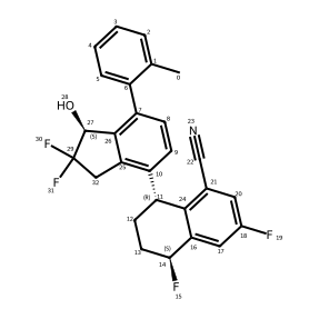 Cc1ccccc1-c1ccc([C@H]2CC[C@H](F)c3cc(F)cc(C#N)c32)c2c1[C@H](O)C(F)(F)C2